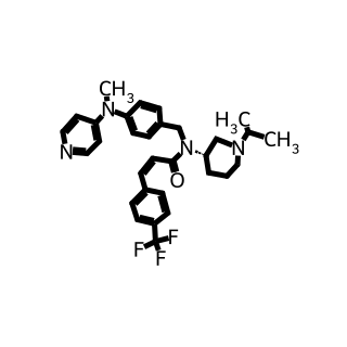 CC(C)N1CCC[C@H](N(Cc2ccc(N(C)c3ccncc3)cc2)C(=O)C=Cc2ccc(C(F)(F)F)cc2)C1